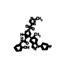 Cc1cc2c(cnn2-c2ccc(F)cc2)cc1[C@]12CN(S(=O)(=O)c3cnn(C)n3)C[C@H]1[C@@H]2C(=O)Nc1ccccc1O